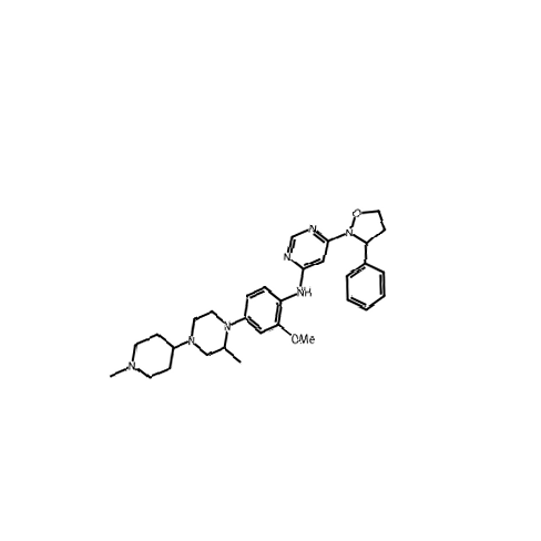 COc1cc(N2CCN(C3CCN(C)CC3)CC2C)ccc1Nc1cc(N2OCCC2c2ccccc2)ncn1